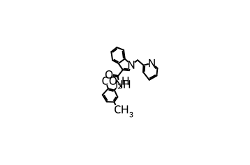 Cc1ccc(C(=O)O)c(NC(=O)c2cn(Cc3ccccn3)c3ccccc23)c1